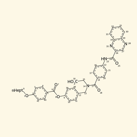 CCCCCCCOc1ccc(C(=O)Oc2ccc(CN(CC(=O)O)C(=O)c3ccc(NC(=O)c4cnc5ccccc5n4)cc3)cc2)cc1